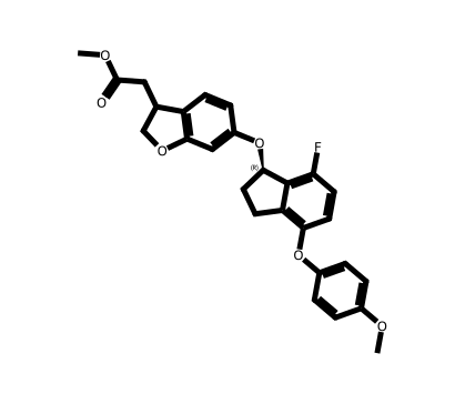 COC(=O)CC1COc2cc(O[C@@H]3CCc4c(Oc5ccc(OC)cc5)ccc(F)c43)ccc21